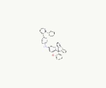 c1ccc(-c2ccccc2-c2ccc(Nc3ccc4c(c3)Oc3ccccc3C43c4ccccc4-c4ccccc43)cc2)cc1